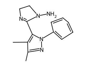 Cc1nn(-c2ccccc2)c(C2=NCCN2N)c1C